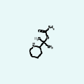 CC(C)(OC(N)=O)C1CCCCN1